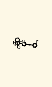 CN1C(=O)C(c2ccc(C#Cc3cccc(F)c3)cn2)[C@@H]2CCCC[C@@H]21